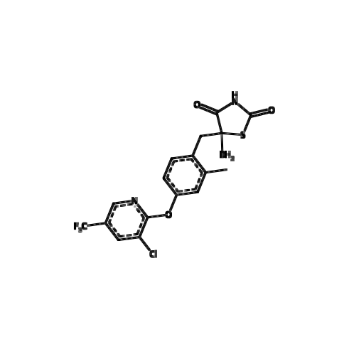 BC1(Cc2ccc(Oc3ncc(C(F)(F)F)cc3Cl)cc2C)SC(=O)NC1=O